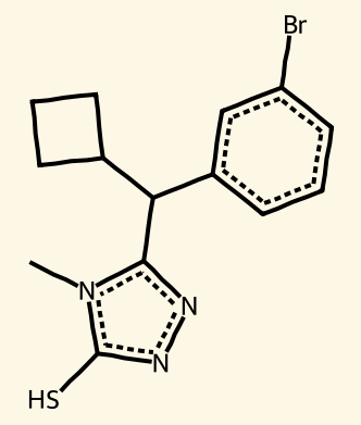 Cn1c(S)nnc1C(c1cccc(Br)c1)C1CCC1